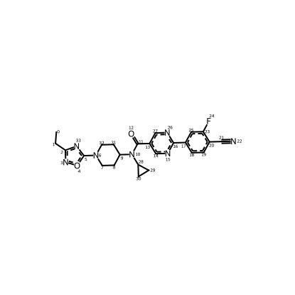 CCc1noc(N2CCC(N(C(=O)c3cnc(-c4ccc(C#N)c(F)c4)nc3)C3CC3)CC2)n1